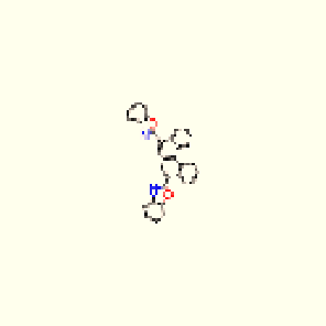 c1ccc2oc(-c3cc4cc(-c5nc6ccccc6o5)c5ccccc5c4c4ccccc34)nc2c1